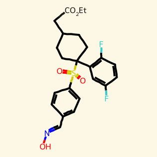 CCOC(=O)CC1CCC(c2cc(F)ccc2F)(S(=O)(=O)c2ccc(C=NO)cc2)CC1